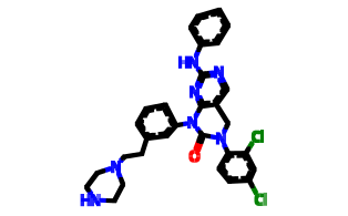 O=C1N(c2ccc(Cl)cc2Cl)Cc2cnc(Nc3ccccc3)nc2N1c1cccc(CCN2CCNCC2)c1